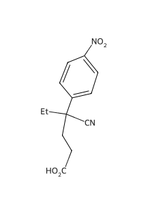 CCC(C#N)(CCC(=O)O)c1ccc([N+](=O)[O-])cc1